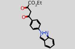 CCOC(=O)C(=O)CC(=O)c1ccc(-n2cc3ccccc3n2)cc1